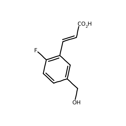 O=C(O)C=Cc1cc(CO)ccc1F